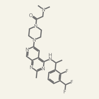 Cc1nc(NC(C)c2cccc(C(F)F)c2F)c2cc(N3CCN(C(=O)CN(C)C)CC3)ncc2n1